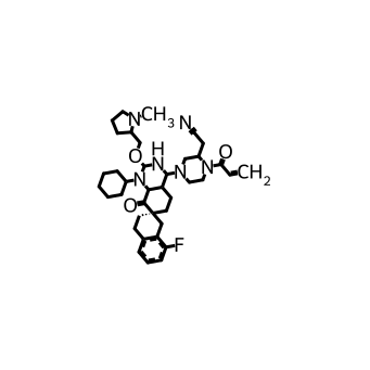 C=CC(=O)N1CCN(C2NC(OCC3CCCN3C)N(C3CCCCC3)C3C(=O)[C@@]4(CCc5cccc(F)c5C4)CCC23)CC1CC#N